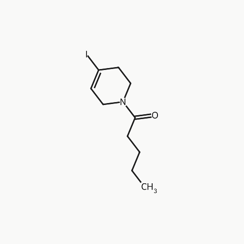 CCCCC(=O)N1CC=C(I)CC1